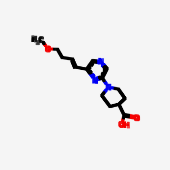 COCCC=Cc1cncc(N2CCC(C(=O)O)CC2)n1